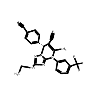 CCNc1nc2n(n1)[C@H](c1ccc(C#N)cc1)C(C#N)=C(C)N2c1cccc(C(F)(F)F)c1